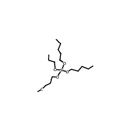 CCCCCO[Si](OCCC)(OCCCCC)OCCCCC